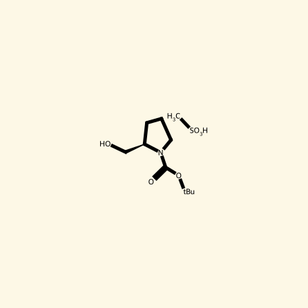 CC(C)(C)OC(=O)N1CCC[C@@H]1CO.CS(=O)(=O)O